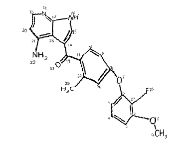 COc1cccc(Oc2ccc(C(=O)c3c[nH]c4nccc(N)c34)c(C)c2)c1F